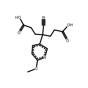 COc1ccc(C(C#N)(CCC(=O)O)CCC(=O)O)cn1